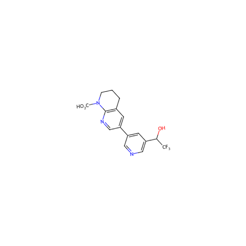 O=C(O)N1CCCc2cc(-c3cncc(C(O)C(F)(F)F)c3)cnc21